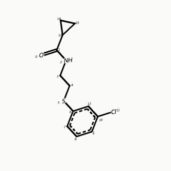 O=C(NCCSc1cc[c]c(Cl)c1)C1CC1